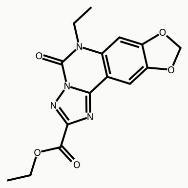 CCOC(=O)c1nc2c3cc4c(cc3n(CC)c(=O)n2n1)OCO4